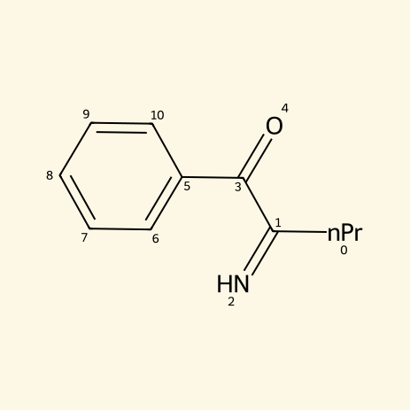 C[CH]CC(=N)C(=O)c1ccccc1